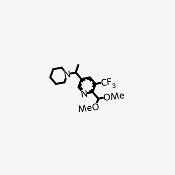 COC(OC)c1ncc(C(C)N2CCCCC2)cc1C(F)(F)F